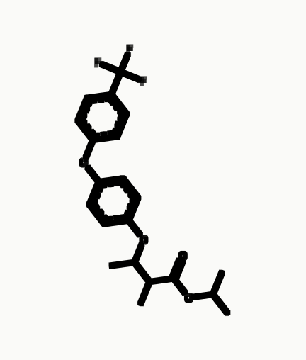 CC(C)OC(=O)C(C)C(C)Oc1ccc(Oc2ccc(C(F)(F)F)cc2)cc1